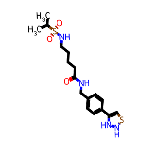 CC(C)S(=O)(=O)NCCCCC(=O)NCc1ccc(C2=CSNN2)cc1